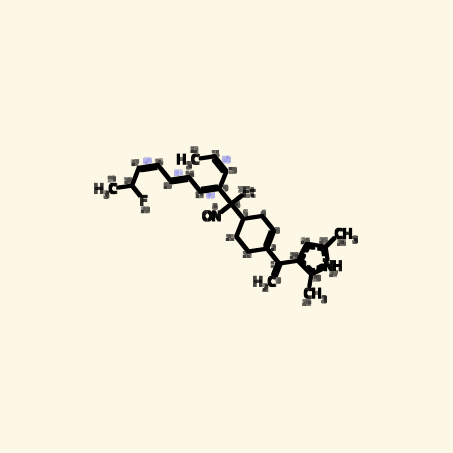 C=C(C1=CCC(C(CC)(N=O)C(/C=C\C)=C/C=C/C=C\C(C)F)CC1)c1cc(C)[nH]c1C